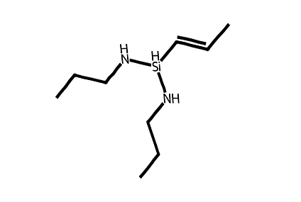 CC=C[SiH](NCCC)NCCC